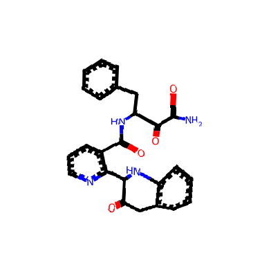 NC(=O)C(=O)C(Cc1ccccc1)NC(=O)c1cccnc1C1Nc2ccccc2CC1=O